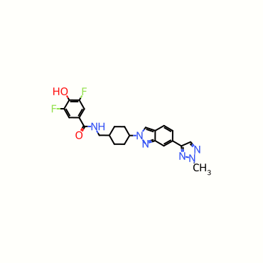 Cn1ncc(-c2ccc3cn(C4CCC(CNC(=O)c5cc(F)c(O)c(F)c5)CC4)nc3c2)n1